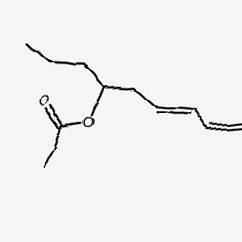 C=CC=CCC(CCC)OC(C)=O